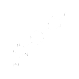 CCC(C)c1nc(-c2ccc(-c3ccc(F)cc3)cc2)no1